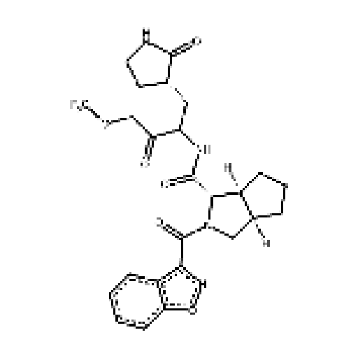 O=C(COC(F)(F)F)C(C[C@@H]1CCNC1=O)NC(=O)[C@@H]1[C@H]2CCC[C@H]2CN1C(=O)c1noc2ccccc12